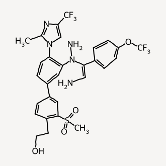 Cc1nc(C(F)(F)F)cn1-c1ccc(-c2ccc(CCO)c(S(C)(=O)=O)c2)cc1N(N)/C(=C\N)c1ccc(OC(F)(F)F)cc1